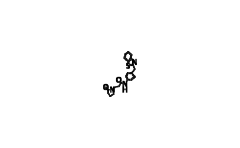 O=C(CCN1CCCC1=O)Nc1ccc(Cc2nc3ccccc3s2)cc1